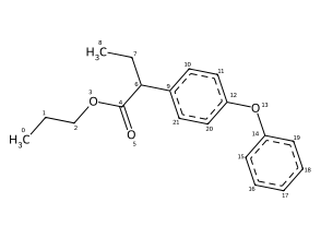 CCCOC(=O)C(CC)c1ccc(Oc2ccccc2)cc1